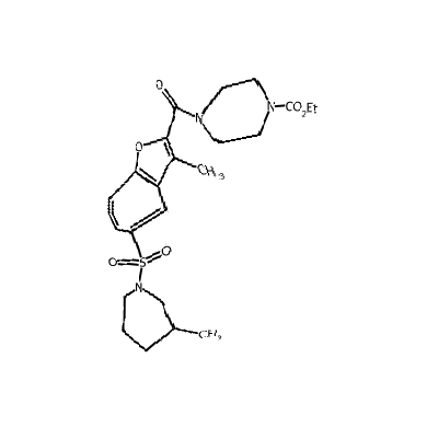 CCOC(=O)N1CCN(C(=O)c2oc3ccc(S(=O)(=O)N4CCCC(C)C4)cc3c2C)CC1